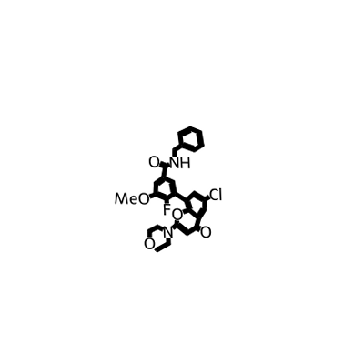 COc1cc(C(=O)NCc2ccccc2)cc(-c2cc(Cl)cc3c(=O)cc(N4CCOCC4)oc23)c1F